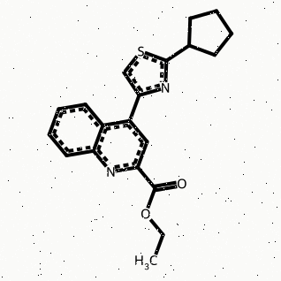 CCOC(=O)c1cc(-c2csc(C3CCCC3)n2)c2ccccc2n1